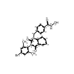 Cc1cc(Br)cc(C)c1-n1c(=O)c2ccccc2n(Cc2ccc(C(=O)NO)cc2)c1=O